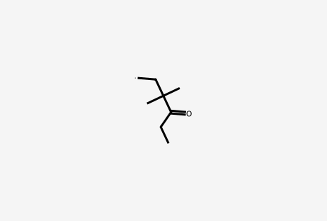 [CH2]CC(C)(C)C(=O)CC